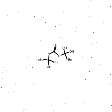 CCCCC(O)(O)OC(=O)OC(O)(O)CCCC